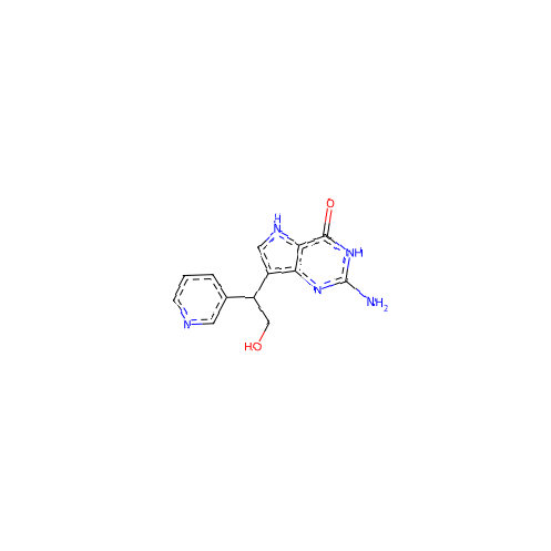 Nc1nc2c(C(CO)c3cccnc3)c[nH]c2c(=O)[nH]1